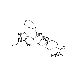 CCn1ncc2c(NC3CCCCC3)c(C3=NOC4(CCC(C(=O)NC)CC4)C3)cnc21